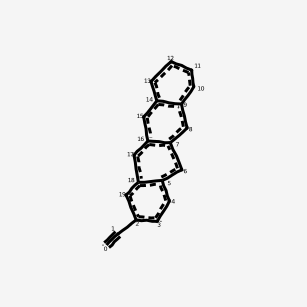 [C]#Cc1[c]cc2cc3cc4ccccc4cc3cc2c1